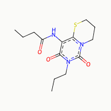 CCCC(=O)Nc1c2n(c(=O)n(CCC)c1=O)CCCS2